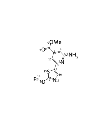 COC(=O)c1cc(N)nc(-c2cnc(OC(C)C)s2)c1